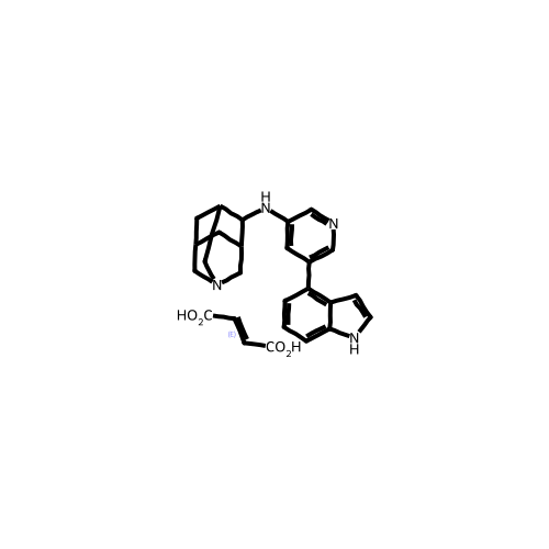 O=C(O)/C=C/C(=O)O.c1cc(-c2cncc(NC3C4CC5CC3CN(C5)C4)c2)c2cc[nH]c2c1